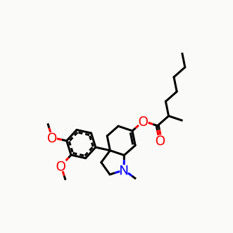 CCCCCC(C)C(=O)OC1=CC2N(C)CCC2(c2ccc(OC)c(OC)c2)CC1